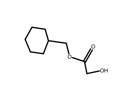 O=C(CO)OCC1CCCCC1